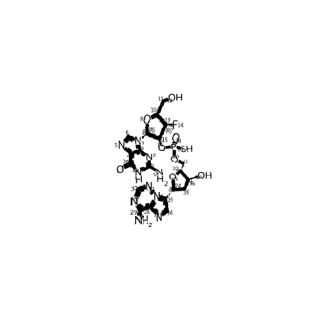 Nc1nc2c(ncn2[C@@H]2OC(CO)[C@@H](F)[C@H]2OP(=O)(S)OC[C@H]2O[C@@H](c3cnc4c(N)ncnn34)C[C@@H]2O)c(=O)[nH]1